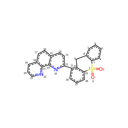 O=S1(=O)c2ccccc2Cc2c(-c3ccc4ccc5cccnc5c4n3)cccc21